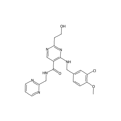 COc1ccc(CNc2nc(CCO)ncc2C(=O)NCc2ncccn2)cc1Cl